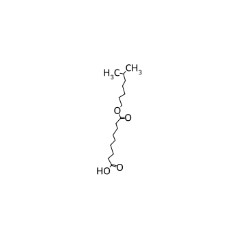 CC(C)CCCCCOC(=O)CCCCCCCC(=O)O